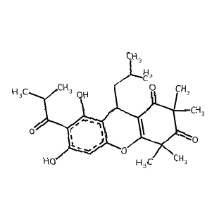 CC(C)CC1C2=C(Oc3cc(O)c(C(=O)C(C)C)c(O)c31)C(C)(C)C(=O)C(C)(C)C2=O